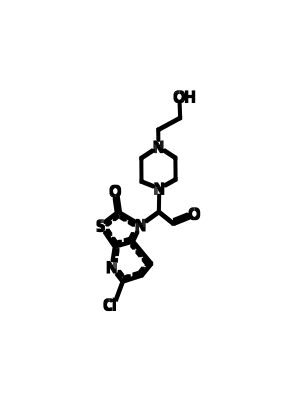 O=CC(N1CCN(CCO)CC1)n1c(=O)sc2nc(Cl)ccc21